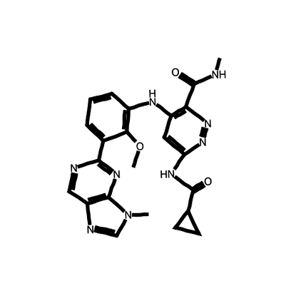 CNC(=O)c1nnc(NC(=O)C2CC2)cc1Nc1cccc(-c2ncc3ncn(C)c3n2)c1OC